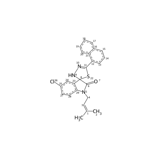 CC(C)=CCN1C(=O)C2(NN=C(c3cccc4ccccc34)S2)c2cc(Cl)ccc21